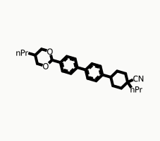 CCCC1COC(c2ccc(-c3ccc(C4CCC(C#N)(CCC)CC4)cc3)cc2)OC1